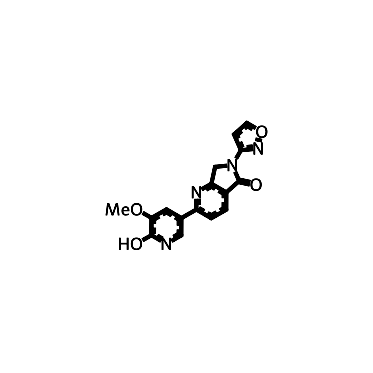 COc1cc(-c2ccc3c(n2)CN(c2ccon2)C3=O)cnc1O